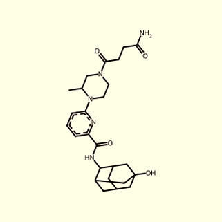 CC1CN(C(=O)CCC(N)=O)CCN1c1cccc(C(=O)NC2C3CC4CC2CC(O)(C4)C3)n1